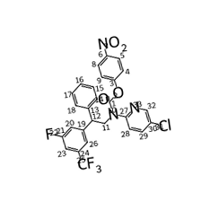 O=C(Oc1ccc([N+](=O)[O-])cc1)N(CC(c1ccccc1)c1cc(F)cc(C(F)(F)F)c1)c1ccc(Cl)cn1